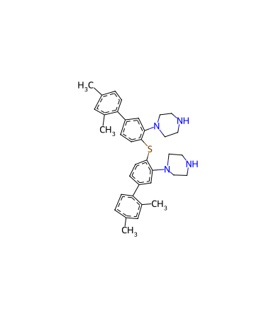 Cc1ccc(-c2ccc(Sc3ccc(-c4ccc(C)cc4C)cc3N3CCNCC3)c(N3CCNCC3)c2)c(C)c1